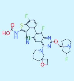 N#Cc1c(NC(=O)O)sc2c(F)ccc(-c3c(Cl)cc4c(N5CCCCC6(CCO6)C5)nc(OC[C@@]56CCCN5C[C@H](F)C6)nc4c3F)c12